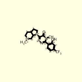 CN1CCC2CCN(c3nnc(-c4ccc(C(F)(F)F)cc4O)n(C)c3=O)C2C1